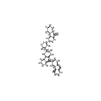 c1cc(-c2ccc3[nH]c4ccccc4c3c2)cc(-c2ccc3c(c2)c2ccccc2n3-c2ccc3sc4cccnc4c3c2)c1